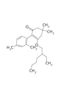 CCCCC(CC)COC1=C(c2ccc(C)cc2C)C(=O)CC(C)(C)C1